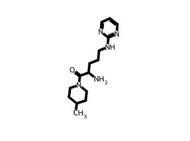 CC1CCN(C(=O)C(N)CCCNc2ncccn2)CC1